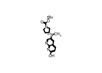 CN(c1cnc2nc(O)ccc2c1)[C@@H]1CCN(C(=O)OC(C)(C)C)C1